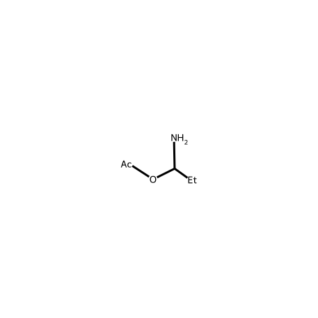 CCC(N)OC(C)=O